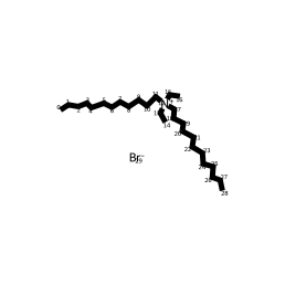 CCCCCCCCCCCC[N+](CC)(CC)CCCCCCCCCCCC.[Br-]